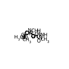 Cc1nc2ccc(S(=O)(=O)N(C)C)cc2n1-c1cccc([C@]2(C)CC(=O)N(C)C(=N)N2)c1